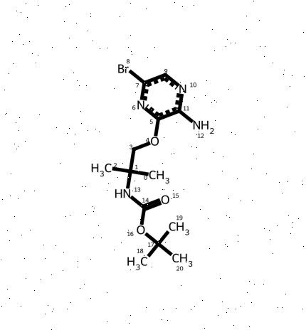 CC(C)(COc1nc(Br)cnc1N)NC(=O)OC(C)(C)C